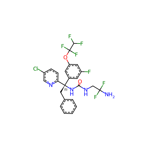 NC(F)(F)CNC(=O)N[C@@](Cc1ccccc1)(c1cc(F)cc(OC(F)(F)C(F)F)c1)c1ccc(Cl)cn1